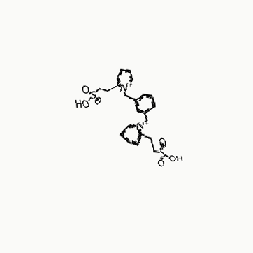 O=S(=O)(O)CCc1cccc[n+]1Cc1cccc(C[n+]2ccccc2CCS(=O)(=O)O)c1